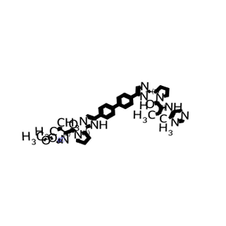 COO/C=N\[C@H](C(=O)N1CCC[C@H]1c1ncc(-c2ccc(-c3ccc(-c4cnc([C@@H]5CCCN5C(=O)[C@@H](Nc5cncnc5)C(C)C)[nH]4)cc3)cc2)[nH]1)C(C)C